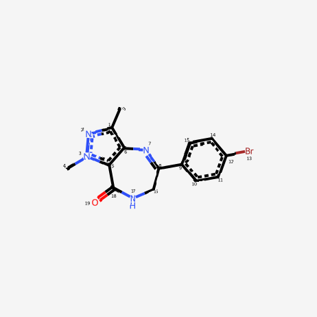 Cc1nn(C)c2c1N=C(c1ccc(Br)cc1)CNC2=O